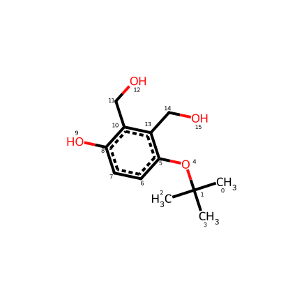 CC(C)(C)Oc1ccc(O)c(CO)c1CO